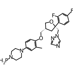 Cc1cc(N2CCN(P)CC2)ccc1OC[C@@H]1CO[C@@](Cn2cncn2)(c2ccc(F)cc2F)C1